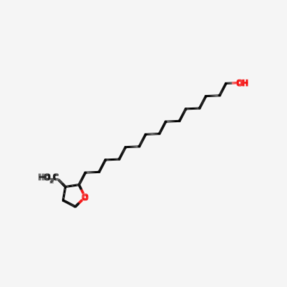 O=C(O)C1CCOC1CCCCCCCCCCCCCCCO